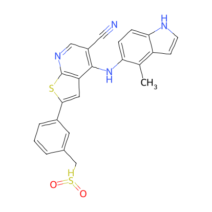 Cc1c(Nc2c(C#N)cnc3sc(-c4cccc(C[SH](=O)=O)c4)cc23)ccc2[nH]ccc12